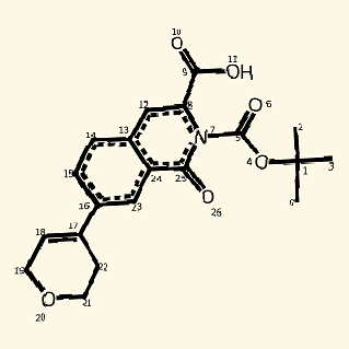 CC(C)(C)OC(=O)n1c(C(=O)O)cc2ccc(C3=CCOCC3)cc2c1=O